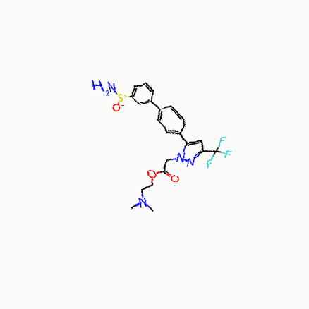 CN(C)CCOC(=O)Cn1nc(C(F)(F)F)cc1-c1ccc(-c2cccc([S+](N)[O-])c2)cc1